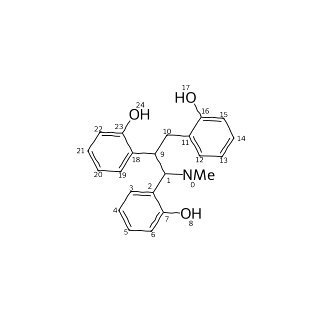 CNC(c1ccccc1O)C(Cc1ccccc1O)c1ccccc1O